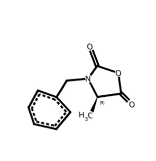 C[C@@H]1C(=O)OC(=O)N1Cc1ccccc1